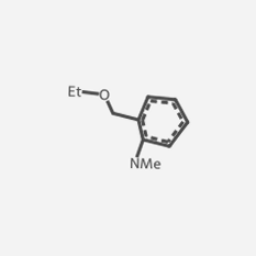 CCOCc1ccccc1NC